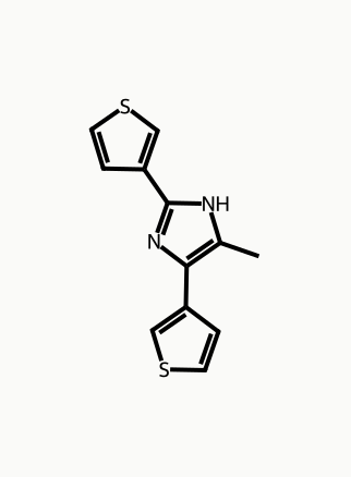 Cc1[nH]c(-c2ccsc2)nc1-c1ccsc1